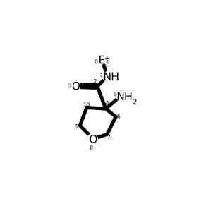 CCNC(=O)C1(N)CCOCC1